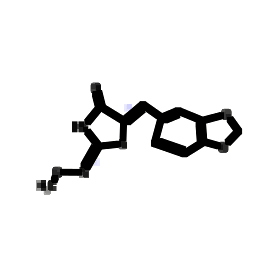 CO/N=C1\NC(=O)/C(=C/c2ccc3c(c2)OCO3)S1